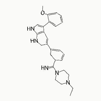 CCN1CCN(C(=N)C2C=CC=C(C3=Cc4c(-c5ccccc5OC)c[nH]c4NC3)C2)CC1